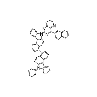 c1ccc(-n2c3ccccc3c3c4cccc(-c5cccc6c5ccc5c6c6ccccc6n5-c5nc(-c6ccc7ccccc7c6)c6ncccc6n5)c4ccc32)cc1